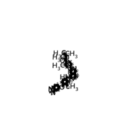 Cc1c(Oc2ccn3ncnc3c2)ccc(Nc2ncnc3cnc(N4CCN(C(=O)OC(C)(C)C)[C@H](C)C4)nc23)c1F